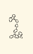 c1cc(-c2ccc(-c3ccc(-n4c5ccccc5c5ccc6oc7ccccc7c6c54)cc3)cc2)cc(-n2c3ccccc3c3ccccc32)c1